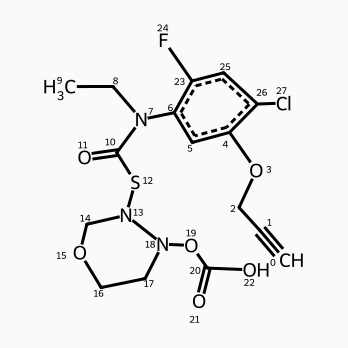 C#CCOc1cc(N(CC)C(=O)SN2COCCN2OC(=O)O)c(F)cc1Cl